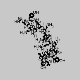 CC[C@H](C)[C@H](NC(=O)[C@@H]1C[C@@H](O)CN1C(=O)[C@@H](N)C(C)C)C(=O)N[C@H](C(=O)N[C@@H](Cc1ccc(O)cc1)C(=O)N[C@H](C(=O)N[C@@H](CC(N)=O)C(=O)N[C@@H](CCCNC(=N)N)C(=O)N[C@@H](CCN)C(=O)N[C@H](C(=O)N[C@H](CCN)C(=O)N[C@@H](CCCCN)C(=O)N[C@@H](CS)C(=O)N[C@@H](CCN)C(=O)N[C@@H](CCCNC(=N)N)C(=O)N[C@@H](Cc1ccc(O)cc1)C(=O)O)[C@@H](C)O)C(C)(C)S)[C@@H](C)O